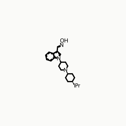 CC(C)[C@H]1CC[C@@H](N2CCC(n3cc(C=NO)c4ccccc43)CC2)CC1